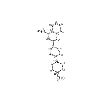 CNc1nc(-c2ccc(N3CCN(C=O)CC3)cc2)cc2nccnc12